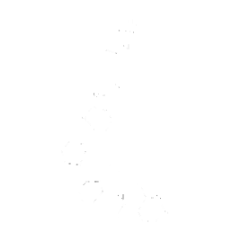 COc1nc(-c2cccc(-c3cccc(NC(=O)c4ccnn(C)c4=O)c3C)c2Cl)cc2c1C(N1CC(C(=O)NS(C)(=O)=O)C1)CC2